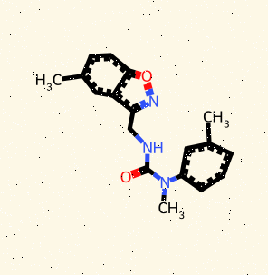 Cc1cccc(N(C)C(=O)NCc2noc3ccc(C)cc23)c1